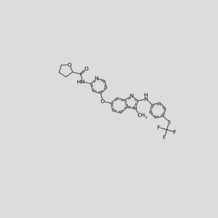 Cn1c(Nc2ccc(SC(F)(F)F)cc2)nc2cc(Oc3ccnc(NC(=O)C4CCCO4)c3)ccc21